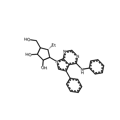 CC[C@H]1C(CO)C(O)C(O)C1n1cc(-c2ccccc2)c2c(Nc3ccccc3)ncnc21